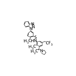 C=C(c1cc(CC(F)(F)F)cc(NSc2cc(-n3nnc4ccccc43)ccc2C)c1C)N1CCCC1